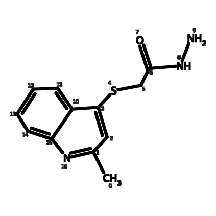 Cc1cc(SCC(=O)NN)c2ccccc2n1